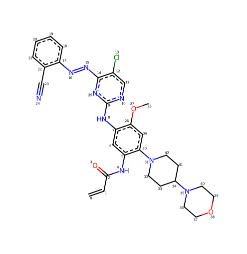 C=CC(=O)Nc1cc(Nc2ncc(Cl)c(N=Nc3ccccc3C#N)n2)c(OC)cc1N1CCC(N2CCOCC2)CC1